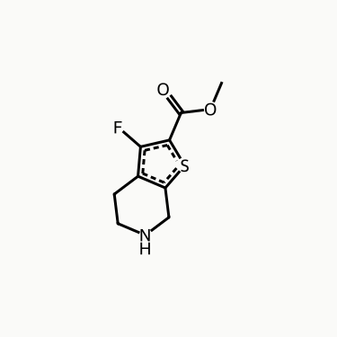 COC(=O)c1sc2c(c1F)CCNC2